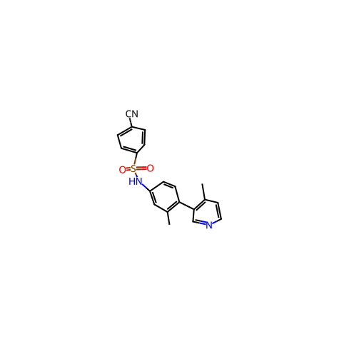 Cc1cc(NS(=O)(=O)c2ccc(C#N)cc2)ccc1-c1cnccc1C